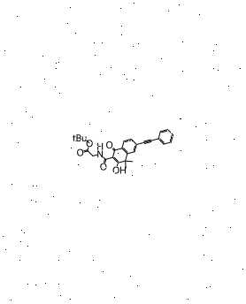 CC(C)(C)OC(=O)CNC(=O)C1=C(O)C(C)(C)c2cc(C#Cc3ccccc3)ccc2C1=O